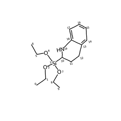 CCO[Si](OCC)(OCC)C1CCc2ccccc2N1